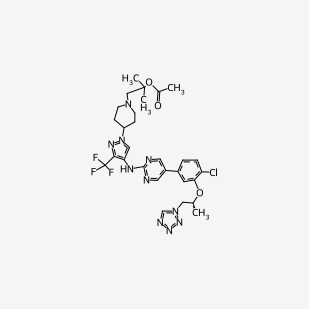 CC(=O)OC(C)(C)CN1CCC(n2cc(Nc3ncc(-c4ccc(Cl)c(O[C@@H](C)Cn5cnnn5)c4)cn3)c(C(F)(F)F)n2)CC1